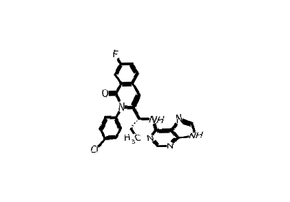 CC[C@@H](Nc1ncnc2[nH]cnc12)c1cc2ccc(F)cc2c(=O)n1-c1ccc(Cl)cc1